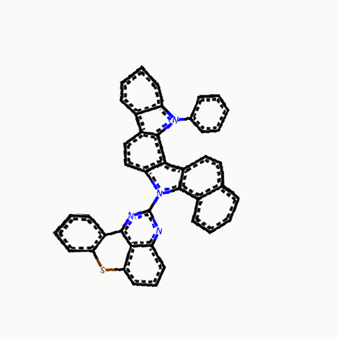 c1ccc(-n2c3ccccc3c3ccc4c(c5ccc6ccccc6c5n4-c4nc5c6c(cccc6n4)Sc4ccccc4-5)c32)cc1